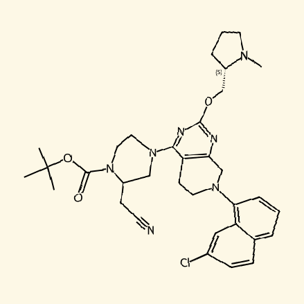 CN1CCC[C@H]1COc1nc2c(c(N3CCN(C(=O)OC(C)(C)C)C(CC#N)C3)n1)CCN(c1cccc3ccc(Cl)cc13)C2